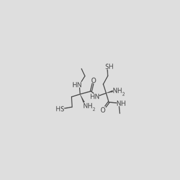 CCN[C@@](N)(CCS)C(=O)N[C@](N)(CCS)C(=O)NC